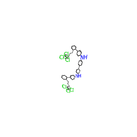 Cl[Si](Cl)(Cl)CCCc1ccccc1-c1ccc(Nc2ccc(-c3ccc(Nc4ccc(-c5ccccc5CCC[Si](Cl)(Cl)Cl)cc4)cc3)cc2)cc1